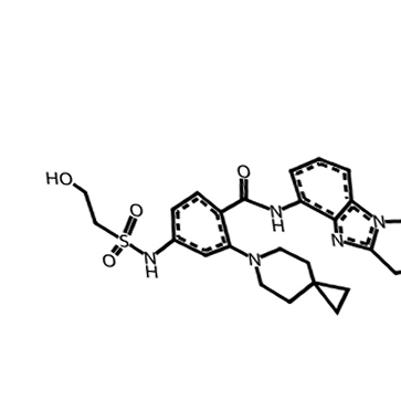 CC1CCCc2nc3c(NC(=O)c4ccc(NS(=O)(=O)CCO)cc4N4CCC5(CC4)CC5)cccc3n21